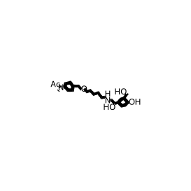 CC(=O)N(C)c1ccc(CCOCCCCCCNCC(O)c2ccc(O)c(CO)c2)cc1